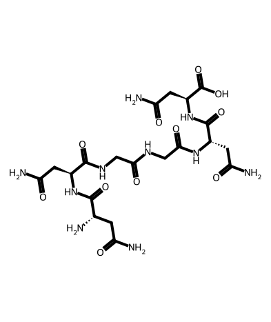 NC(=O)C[C@H](NC(=O)[C@H](CC(N)=O)NC(=O)CNC(=O)CNC(=O)[C@H](CC(N)=O)NC(=O)[C@@H](N)CC(N)=O)C(=O)O